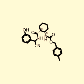 Cc1ccc(COC(=O)N[C@@H]2CCCC[C@H]2C(=O)NC(C#N)c2cccc(O)c2)cc1